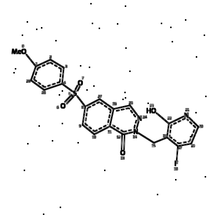 COc1ccc(S(=O)(=O)c2ccc3c(=O)n(Cc4c(F)ccnc4O)ncc3c2)cc1